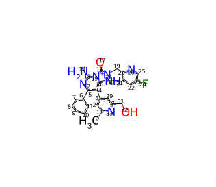 Cc1cc(-c2c(-c3ccccc3)nc(N)[n+]3c(=O)n(Cc4ccc(F)cn4)[nH]c23)cc(CO)n1